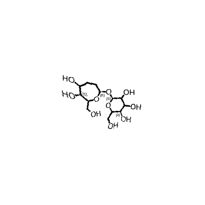 OCC1O[C@H](O[C@@H]2OC(CO)[C@H](O)C(O)C2O)CCC(O)[C@@H]1O